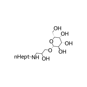 CCCCCCCNCC(O)CO[C@@H]1O[C@H](CO)[C@H](O)[C@H](O)[C@H]1O